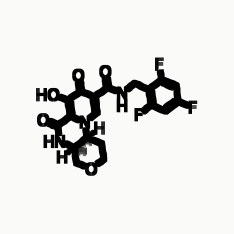 O=C(NCc1c(F)cc(F)cc1F)c1cn2c(c(O)c1=O)C(=O)N[C@H]1COCC[C@H]12